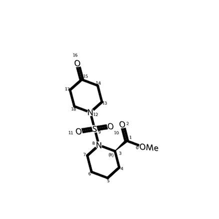 COC(=O)[C@H]1CCCCN1S(=O)(=O)N1CCC(=O)CC1